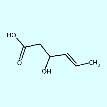 CC=CC(O)CC(=O)O